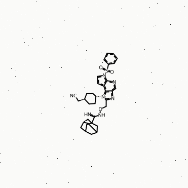 N#CC[C@H]1CC[C@H](n2c(CONC(=N)C34CC5CC(CC(C5)C3)C4)nc3cnc4c(ccn4S(=O)(=O)c4ccccc4)c32)CC1